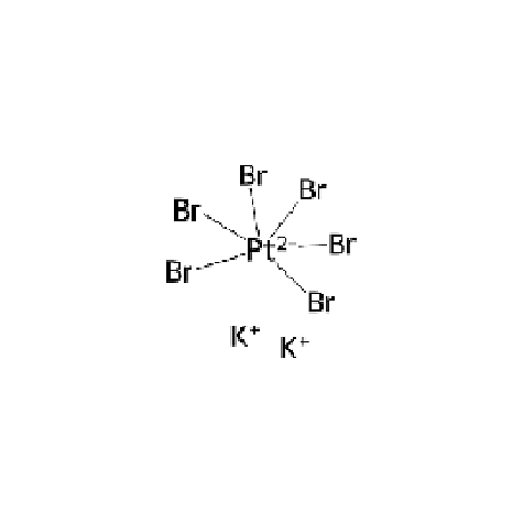 [Br][Pt-2]([Br])([Br])([Br])([Br])[Br].[K+].[K+]